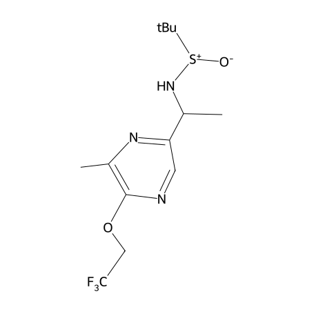 Cc1nc(C(C)N[S+]([O-])C(C)(C)C)cnc1OCC(F)(F)F